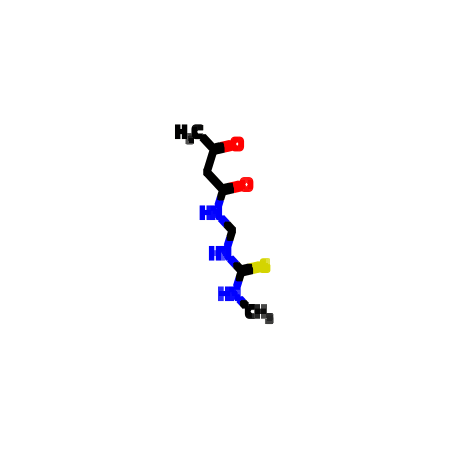 CNC(=S)NCNC(=O)CC(C)=O